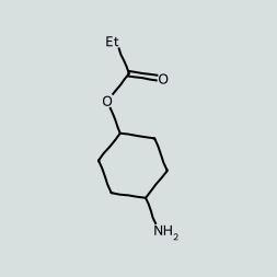 CCC(=O)OC1CCC(N)CC1